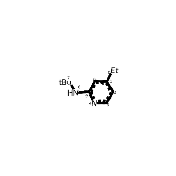 CCc1ccnc(NC(C)(C)C)c1